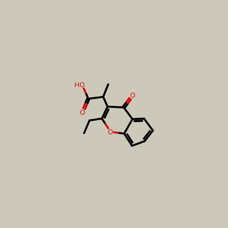 CCc1oc2ccccc2c(=O)c1C(C)C(=O)O